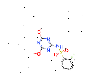 COc1nc(NS(=O)(=O)c2ccccc2F)nc(OC)n1